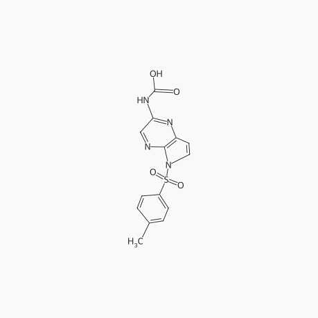 Cc1ccc(S(=O)(=O)n2ccc3nc(NC(=O)O)cnc32)cc1